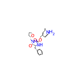 C=C/C=C(\C=C/N)COC(=O)N[C@@H](Cc1ccccc1)C(=O)NC[C@@H]1CCCO1